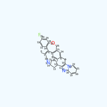 C/C(C#N)=C1/c2ccc(Cc3c(C4CCCC4)nc4ccccn34)cc2COc2cc(F)ccc21